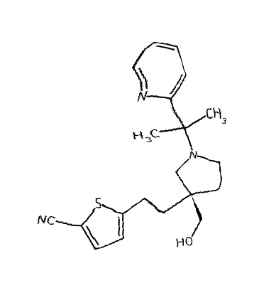 CC(C)(c1ccccn1)N1CC[C@](CO)(CCc2ccc(C#N)s2)C1